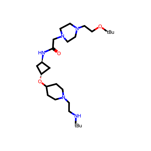 CC(C)(C)NCCN1CCC(O[C@H]2C[C@H](NC(=O)CN3CCN(CCOC(C)(C)C)CC3)C2)CC1